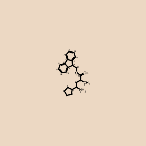 CC(CC(N)C1CCCC1)C(=O)OCC1c2ccccc2-c2ccccc21